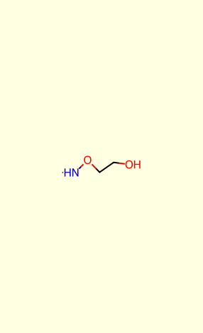 [NH]OCCO